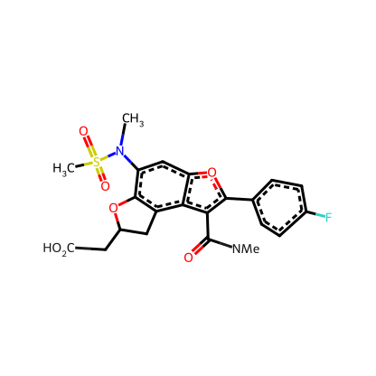 CNC(=O)c1c(-c2ccc(F)cc2)oc2cc(N(C)S(C)(=O)=O)c3c(c12)CC(CC(=O)O)O3